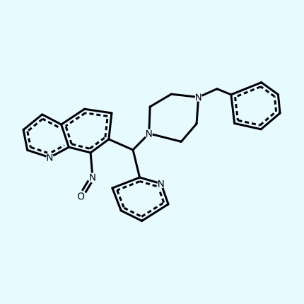 O=Nc1c(C(c2ccccn2)N2CCN(Cc3ccccc3)CC2)ccc2cccnc12